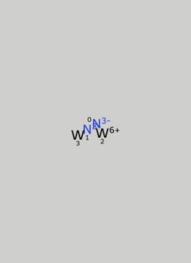 [N-3].[N-3].[W+6].[W]